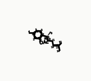 CC(=O)Oc1cc(C)ccc1[C@H](C)CCC=C(C)C